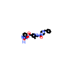 Cc1cc(C(=O)N2CC=CN(C)C34CNN=C3C=CC=C24)ccc1CNC(=O)N1CCN(Cc2ccccc2)CC1